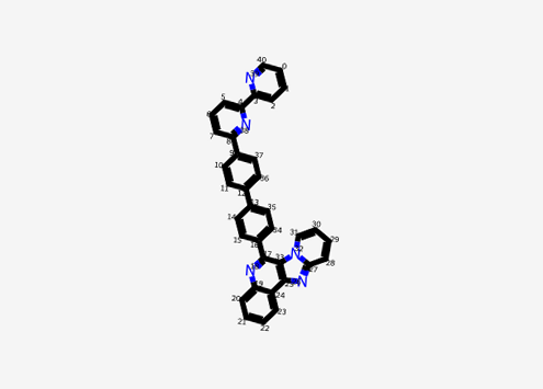 c1ccc(-c2cccc(-c3ccc(-c4ccc(-c5nc6ccccc6c6nc7ccccn7c56)cc4)cc3)n2)nc1